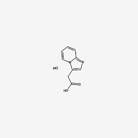 Cl.O=C(O)Cc1cnc2ccccn12